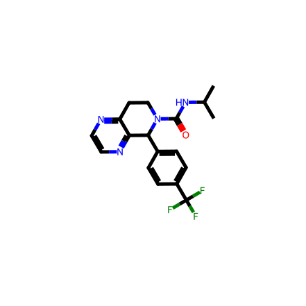 CC(C)NC(=O)N1CCc2nccnc2C1c1ccc(C(F)(F)F)cc1